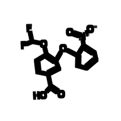 O=C(O)c1ccc(OC(F)F)c(Oc2ccccc2[N+](=O)[O-])c1